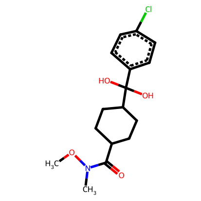 CON(C)C(=O)C1CCC(C(O)(O)c2ccc(Cl)cc2)CC1